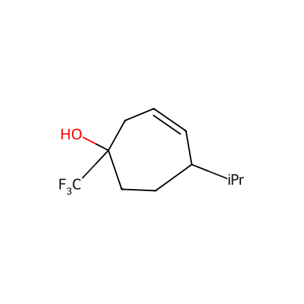 CC(C)C1C=CCC(O)(C(F)(F)F)CC1